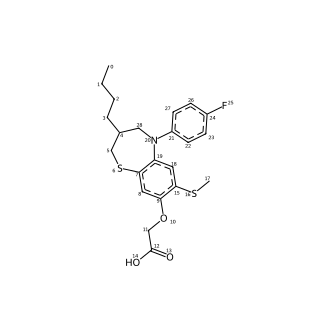 CCCCC1CSc2cc(OCC(=O)O)c(SC)cc2N(c2ccc(F)cc2)C1